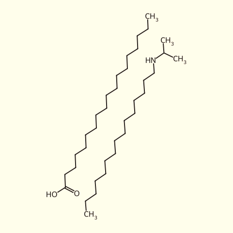 CCCCCCCCCCCCCCCCCC(=O)O.CCCCCCCCCCCCCCCNC(C)C